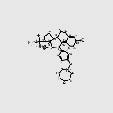 CC12CC(c3ccc(CN4CCCNCC4)cc3)C3=C4CCC(=O)C=C4CCC3C1CC[C@@]2(O)C(F)(F)C(F)(F)F